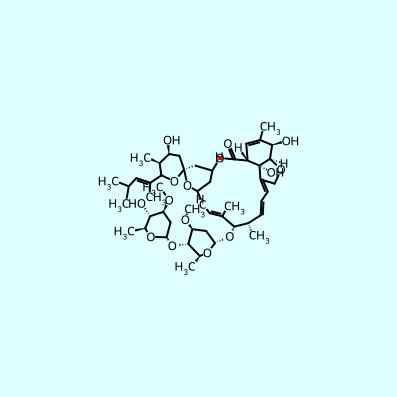 CO[C@H]1C[C@H](O[C@H]2[C@H](C)O[C@@H](O[C@@H]3/C(C)=C/C[C@@H]4C[C@@H](C[C@]5(C[C@H](O)[C@H](C)C(/C(C)=C/C(C)C)O5)O4)OC(=O)[C@@H]4C=C(C)[C@@H](O)[C@H]5OC/C(=C\C=C\[C@@H]3C)[C@]54O)C[C@@H]2OC)O[C@@H](C)[C@@H]1O